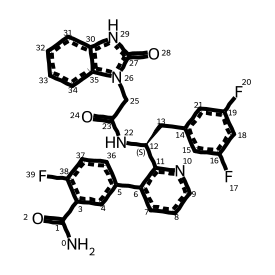 NC(=O)c1cc(-c2cccnc2[C@H](Cc2cc(F)cc(F)c2)NC(=O)Cn2c(=O)[nH]c3ccccc32)ccc1F